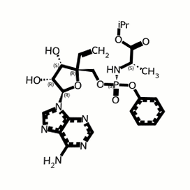 C=C[C@]1(CO[P@@](=O)(N[C@@H](C)C(=O)OC(C)C)Oc2ccccc2)O[C@@H](n2cnc3c(N)ncnc32)[C@H](O)[C@@H]1O